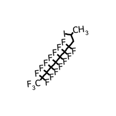 CC(I)CC(F)(F)C(F)(F)C(F)(F)C(F)(F)C(F)(F)C(F)(F)C(F)(F)C(F)(F)F